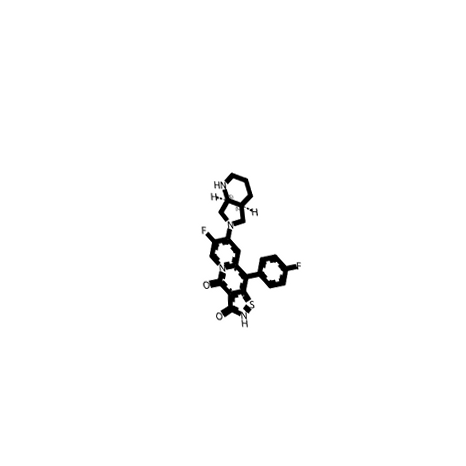 O=c1[nH]sc2c(-c3ccc(F)cc3)c3cc(N4C[C@@H]5CCCN[C@@H]5C4)c(F)cn3c(=O)c12